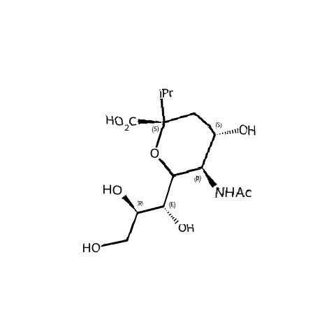 CC(=O)N[C@H]1C([C@H](O)[C@H](O)CO)O[C@](C(=O)O)(C(C)C)C[C@@H]1O